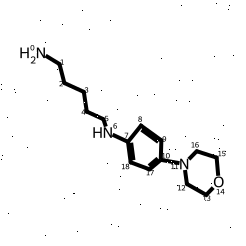 NCCCCCNc1ccc(N2CCOCC2)cc1